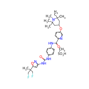 CN1C(C)(C)CC(Oc2ccc(C(=O)Nc3ccc(NC(=O)Nc4cc(C(C)(CF)CF)on4)cc3)nc2)CC1(C)C.CS(=O)(=O)O